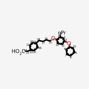 CCCc1cc(Oc2ccccc2)ccc1OCCCCc1ccc(CC(=O)O)cc1